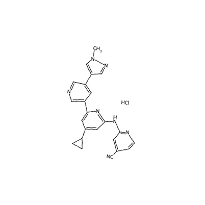 Cl.Cn1cc(-c2cncc(-c3cc(C4CC4)cc(Nc4cc(C#N)ccn4)n3)c2)cn1